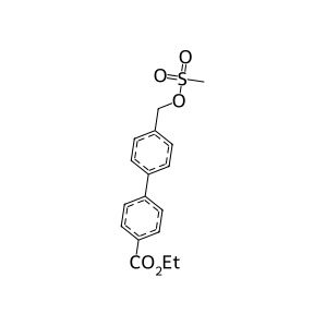 CCOC(=O)c1ccc(-c2ccc(COS(C)(=O)=O)cc2)cc1